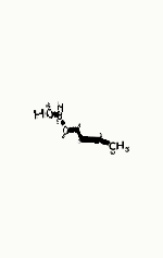 CC=CCOBO